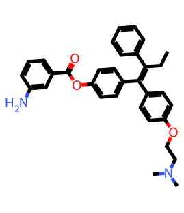 CC/C(=C(\c1ccc(OCCN(C)C)cc1)c1ccc(OC(=O)c2cccc(N)c2)cc1)c1ccccc1